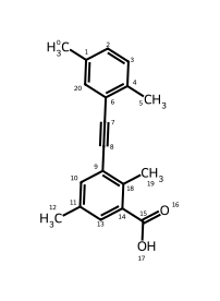 Cc1ccc(C)c(C#Cc2cc(C)cc(C(=O)O)c2C)c1